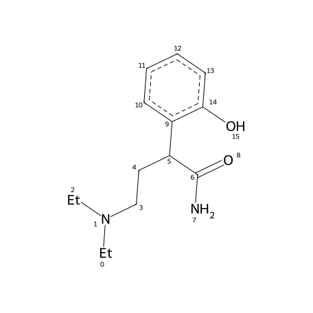 CCN(CC)CCC(C(N)=O)c1ccccc1O